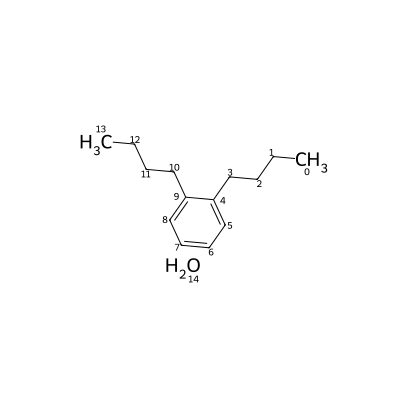 CCCCc1ccccc1CCCC.O